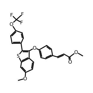 COC(=O)C=Cc1ccc(Oc2c(-c3ccc(OC(F)(F)F)cc3)sc3cc(OC)ccc23)cc1